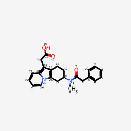 CN(C(=O)Cc1ccccc1)[C@@H]1CCc2c(CC(=O)O)c3ccccn3c2C1